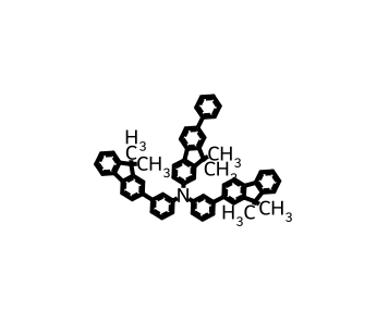 CC1(C)c2ccccc2-c2ccc(-c3cccc(N(c4cccc(-c5ccc6c(c5)C(C)(C)c5ccccc5-6)c4)c4ccc5c(c4)C(C)(C)c4cc(-c6ccccc6)ccc4-5)c3)cc21